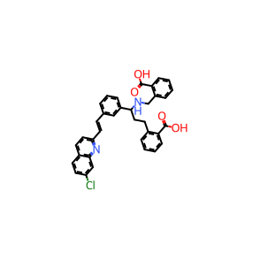 O=C(O)c1ccccc1CCC(NCc1ccccc1C(=O)O)c1cccc(/C=C/c2ccc3ccc(Cl)cc3n2)c1